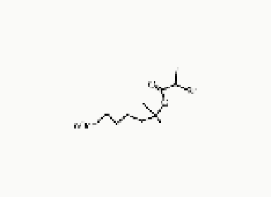 CCCCCCCCCCCCC(C)(C)OC(=O)C(C)Br